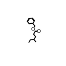 CCC(C)CCC(=O)OCc1ccccc1